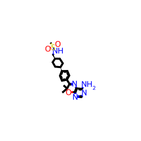 CC1(C)Oc2ncnc(N)c2N=C1c1ccc([C@H]2CC[C@H](CNS(C)(=O)=O)CC2)cc1